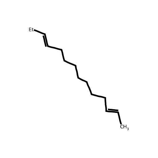 [CH2]CC=CCCCCCCCC=CC